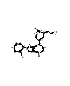 C=C/C=C(C#N)\C=C(/C=C)c1ccnc2cc(-c3ccccc3F)oc12